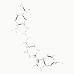 COc1ccc(C(C)=O)cc1OCCCN1CCC(c2noc3cc(F)ccc23)CC1